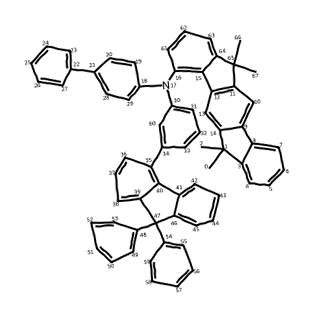 CC1(C)c2ccccc2-c2cc3c(cc21)-c1c(N(c2ccc(-c4ccccc4)cc2)c2cccc(-c4cccc5c4-c4ccccc4C5(c4ccccc4)c4ccccc4)c2)cccc1C3(C)C